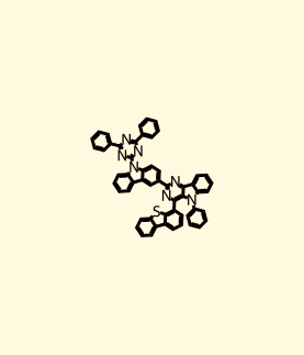 c1ccc(-c2nc(-c3ccccc3)nc(-n3c4ccccc4c4cc(-c5nc(-c6cccc7c6sc6ccccc67)c6c(n5)c5ccccc5n6-c5ccccc5)ccc43)n2)cc1